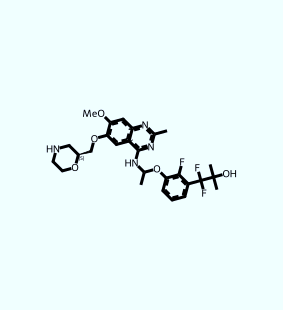 COc1cc2nc(C)nc(NC(C)Oc3cccc(C(F)(F)C(C)(C)O)c3F)c2cc1OC[C@@H]1CNCCO1